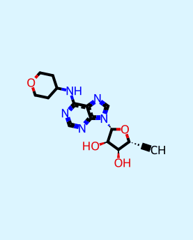 C#C[C@H]1O[C@@H](n2cnc3c(NC4CCOCC4)ncnc32)[C@H](O)[C@@H]1O